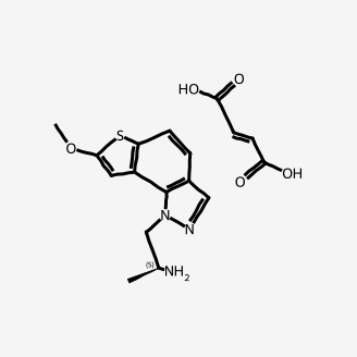 COc1cc2c(ccc3cnn(C[C@H](C)N)c32)s1.O=C(O)C=CC(=O)O